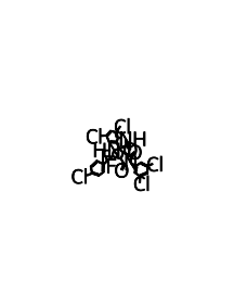 O=C1C2C(C(F)(F)c3ccc(Cl)cc3)NC3(C(=O)Nc4c(Cl)cc(Cl)cc43)C2C(=O)N1c1cc(Cl)cc(Cl)c1